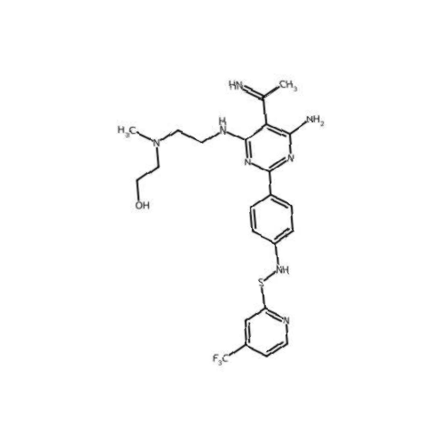 CC(=N)c1c(N)nc(-c2ccc(NSc3cc(C(F)(F)F)ccn3)cc2)nc1NCCN(C)CCO